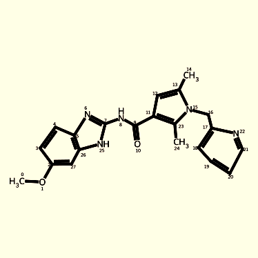 COc1ccc2nc(NC(=O)c3cc(C)n(Cc4ccccn4)c3C)[nH]c2c1